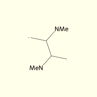 [CH2]C(NC)C(C)NC